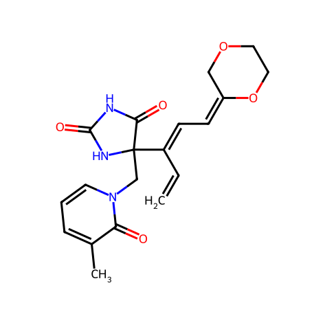 C=C/C(=C\C=C1/COCCO1)C1(Cn2cccc(C)c2=O)NC(=O)NC1=O